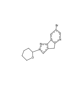 Brc1cnc2c(c1)-c1nn(C3CCCCO3)cc1C2